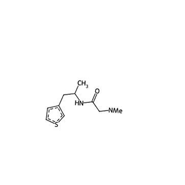 CNCC(=O)NC(C)Cc1ccsc1